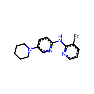 CCc1cccnc1Nc1ccc(N2CCCCC2)cn1